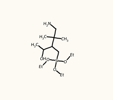 CCO[Si](CC(C(C)O)C(C)(C)CN)(OCC)OCC